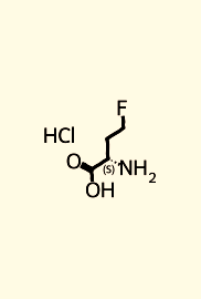 Cl.N[C@@H](CCF)C(=O)O